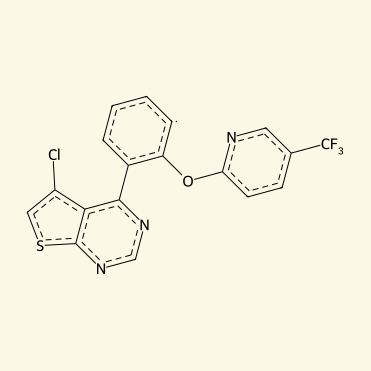 FC(F)(F)c1ccc(Oc2[c]cccc2-c2ncnc3scc(Cl)c23)nc1